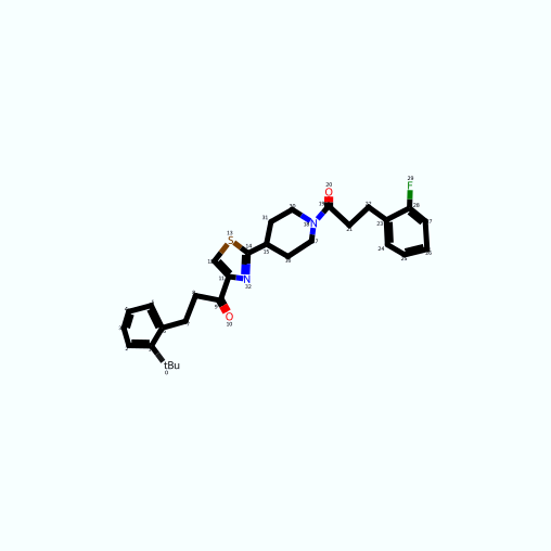 CC(C)(C)c1ccccc1CCC(=O)c1csc(C2CCN(C(=O)CCc3ccccc3F)CC2)n1